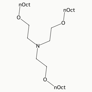 CCCCCCCCOCCN(CCOCCCCCCCC)CCOCCCCCCCC